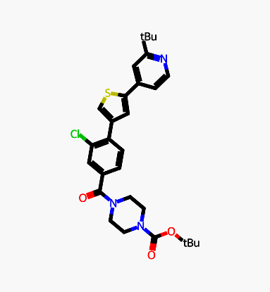 CC(C)(C)OC(=O)N1CCN(C(=O)c2ccc(-c3csc(-c4ccnc(C(C)(C)C)c4)c3)c(Cl)c2)CC1